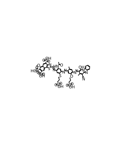 COc1c(S(=O)(=O)O)c(S(=O)(=O)O)cc2c1cc(S(=O)(=O)O)c1nc(N=Nc3cc(SCCCS(=O)(=O)O)c(N=Nc4cc(OCCCS(=O)(=O)O)c(N=Nc5c(C)c(C#N)c6nc7ccccc7n6c5O)cc4C)cc3NC(C)=O)sc12